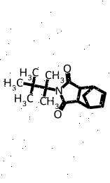 CC(C)(C)C(C)(C)N1C(=O)C2C3C=CC(C3)C2C1=O